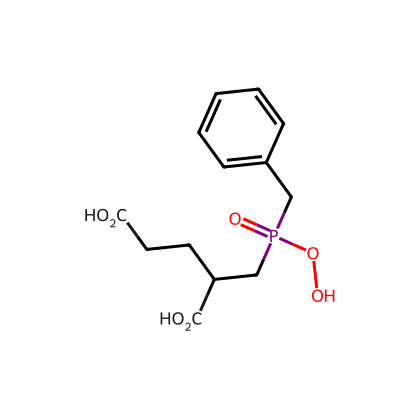 O=C(O)CCC(CP(=O)(Cc1ccccc1)OO)C(=O)O